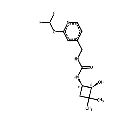 CC1(C)C[C@@H](NC(=O)NCc2ccnc(OC(F)F)c2)[C@H]1O